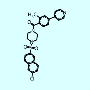 Cc1cc(-c2ccncc2)ccc1C(=O)N1CCN(S(=O)(=O)c2ccc3cc(Cl)ccc3c2)CC1